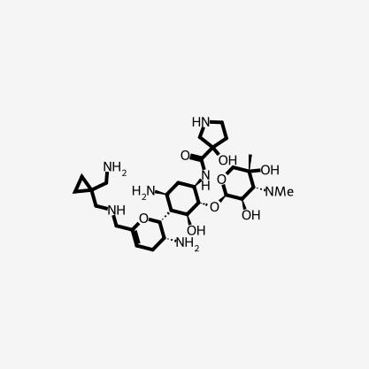 CN[C@@H]1[C@@H](O)[C@@H](O[C@H]2[C@H](NC(=O)C3(O)CCNC3)C[C@H](N)C([C@H]3OC(CNCC4(CN)CC4)=CC[C@H]3N)[C@@H]2O)OC[C@]1(C)O